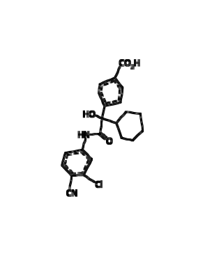 N#Cc1ccc(NC(=O)C(O)(c2ccc(C(=O)O)cc2)C2CCCCC2)cc1Cl